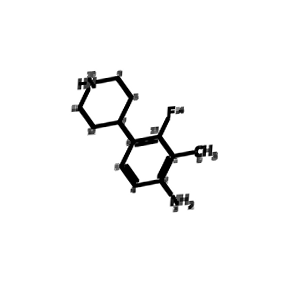 Cc1c(N)ccc(C2CCNCC2)c1F